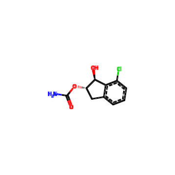 NC(=O)O[C@H]1Cc2cccc(Cl)c2[C@@H]1O